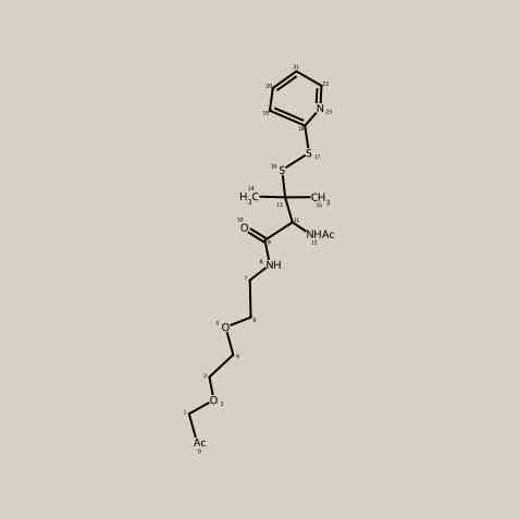 CC(=O)COCCOCCNC(=O)C(NC(C)=O)C(C)(C)SSc1ccccn1